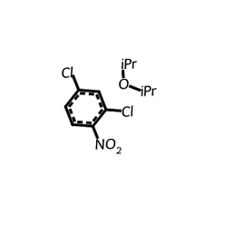 CC(C)OC(C)C.O=[N+]([O-])c1ccc(Cl)cc1Cl